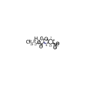 CC(=O)/C(=C\c1cccc([N+](=O)[O-])c1)C(=O)OCCCCl